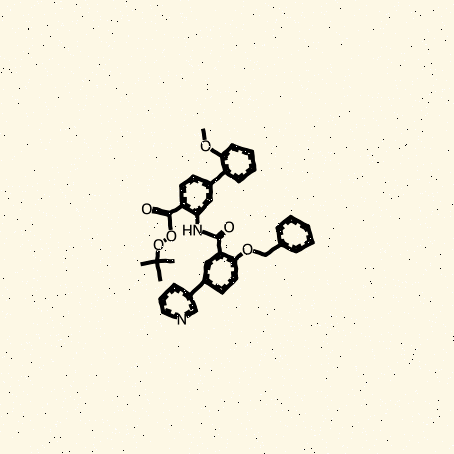 COc1ccccc1-c1ccc(C(=O)OOC(C)(C)C)c(NC(=O)c2cc(-c3cccnc3)ccc2OCc2ccccc2)c1